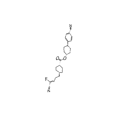 N#CC(F)=CCC[C@H]1CC[C@H](C(=O)O[C@H]2CC[C@H](c3ccc(C#N)cc3)CC2)CC1